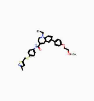 CCCCOCCOc1ccc(-c2ccc3c(c2)C=C(C(=O)Nc2ccc(SCc4cc(C)ns4)cc2)CCN3CC(C)C)cc1